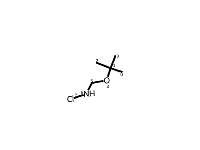 CC(C)(C)OCNCl